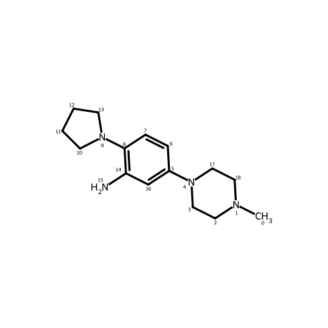 CN1CCN(c2ccc(N3CCCC3)c(N)c2)CC1